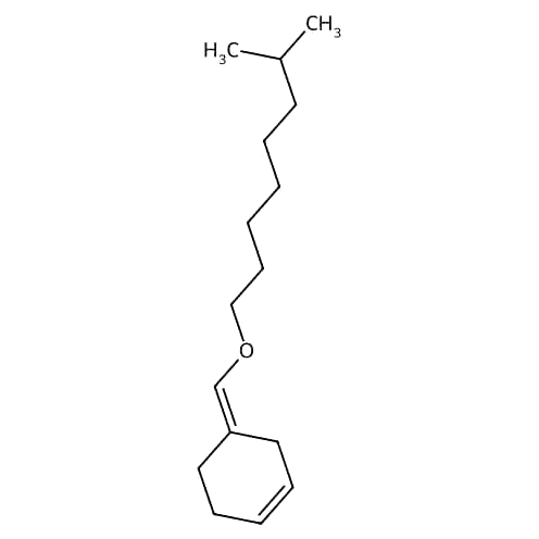 CC(C)CCCCCCOC=C1CC=CCC1